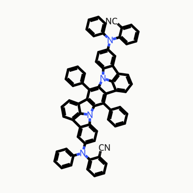 N#Cc1ccccc1N(c1ccccc1)c1ccc2c(c1)c1cccc3c4c(-c5ccccc5)c5c(c(-c6ccccc6)c4n2c13)c1cccc2c3cc(N(c4ccccc4)c4ccccc4C#N)ccc3n5c21